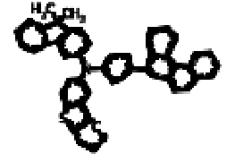 CC1(C)c2ccccc2-c2cc(N(c3ccc(-c4cc5ccc6ccccc6c5c5ccccc45)cc3)c3ccc4sc5ccccc5c4c3)ccc21